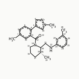 Cc1ccc(-c2cnn(C)c2)c(C(=O)N2CCC[C@@H](C)C2CNc2cccc(C(F)(F)F)n2)c1